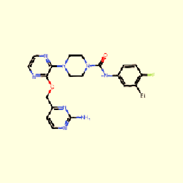 CCc1cc(NC(=O)N2CCN(c3nccnc3OCc3ccnc(N)n3)CC2)ccc1F